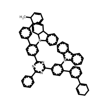 CC1C=CC=CC1c1cccc(-c2ccc(-c3nc(-c4ccccc4)nc(-c4ccc(-c5cccc(C6=CCCC=C6)c5)c(-n5c6ccccc6c6ccccc65)c4)n3)cc2N2c3ccccc3C3C=CC=CC32)c1